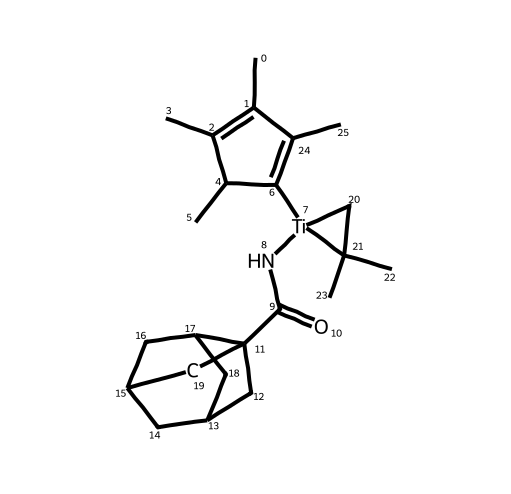 CC1=C(C)C(C)[C]([Ti]2([NH]C(=O)C34CC5CC(CC3C5)C4)[CH2][C]2(C)C)=C1C